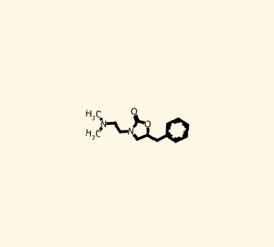 CN(C)CCN1CC(Cc2ccccc2)OC1=O